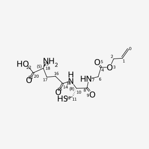 C=CCOC(=O)CNC(=O)[C@H](CS)NC(=O)CC[C@H](N)C(=O)O